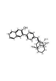 Oc1cc2cnccc2cc1-c1cnc(/C=C2\C[C@H]3CCC[C@H](N3)[C@H]2F)cn1